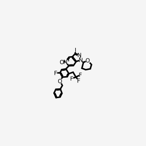 [O-][n+]1cc2c(I)nn(C3CCCCO3)c2cc1-c1cc(F)c(OCc2ccccc2)cc1CC(F)(F)F